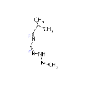 C=NN/N=C\N=C\C(C)C